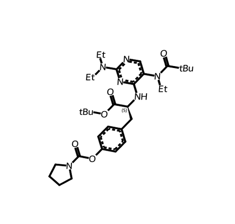 CCN(CC)c1ncc(N(CC)C(=O)C(C)(C)C)c(N[C@@H](Cc2ccc(OC(=O)N3CCCC3)cc2)C(=O)OC(C)(C)C)n1